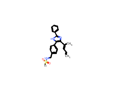 C=C/C=C(\C)c1nc(-c2ccccc2)[nH]c1-c1ccc(CNS(=O)(=O)CC)cc1